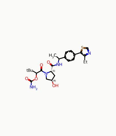 CCc1ncsc1-c1ccc(C(C)NC(=O)[C@@H]2C[C@@H](O)CN2C(=O)C(OC(N)=O)C(C)(C)C)cc1